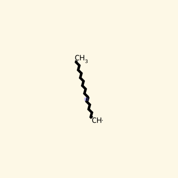 [CH]=CCCC/C=C/CCCCCCCCCC